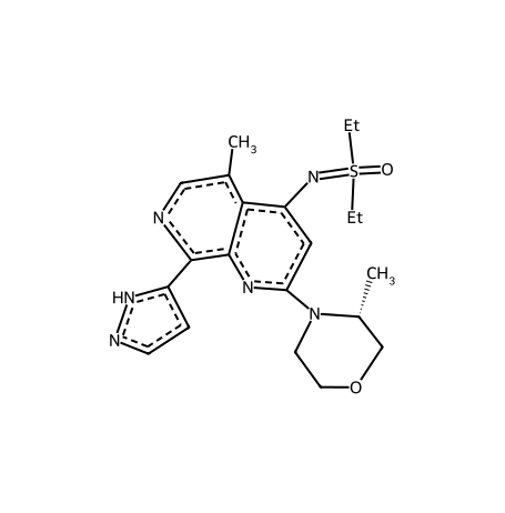 CCS(=O)(CC)=Nc1cc(N2CCOC[C@H]2C)nc2c(-c3ccn[nH]3)ncc(C)c12